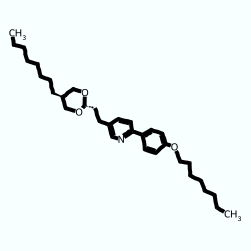 CCCCCCCCOc1ccc(-c2ccc(CC[C@H]3OC[C@H](CCCCCCCC)CO3)cn2)cc1